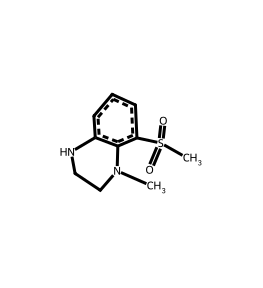 CN1CCNc2cccc(S(C)(=O)=O)c21